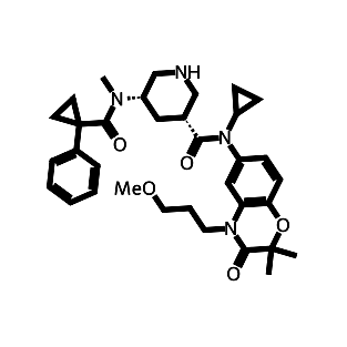 COCCCN1C(=O)C(C)(C)Oc2ccc(N(C(=O)[C@H]3CNC[C@@H](N(C)C(=O)C4(c5ccccc5)CC4)C3)C3CC3)cc21